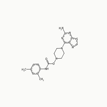 Cc1ccc(NC(=O)ON2CCN(c3nc(N)nc4scnc34)CC2)c(C)c1